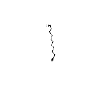 C#CCCCCCCCCC[NH]